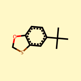 CC(C)(C)c1ccc2c(c1)SCO2